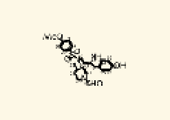 COc1ccc(S(=O)(=O)N(CC[C@@H](N)Cc2ccc(O)cc2)CC2CCN(C=O)CC2)cc1